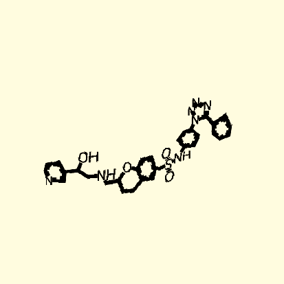 O=S(=O)(Nc1ccc(-n2nnnc2-c2ccccc2)cc1)c1ccc2c(c1)CCC(CNCC(O)c1cccnc1)O2